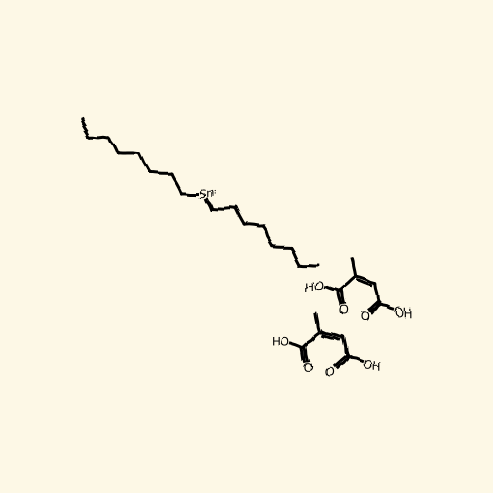 C/C(=C/C(=O)O)C(=O)O.C/C(=C/C(=O)O)C(=O)O.CCCCCCC[CH2][Sn][CH2]CCCCCCC